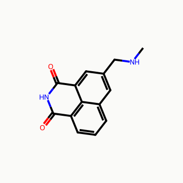 CNCc1cc2c3c(cccc3c1)C(=O)NC2=O